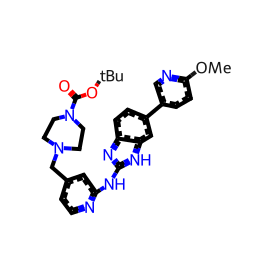 COc1ccc(-c2ccc3nc(Nc4cc(CN5CCN(C(=O)OC(C)(C)C)CC5)ccn4)[nH]c3c2)cn1